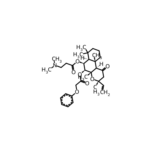 C=C[C@@]1(C)CC(=O)[C@@H]2[C@@]3(C)CCCC(C)(C)[C@@H]3[C@H](OC(=O)CCN(C)C)[C@H](OC(=O)COc3ccccc3)[C@@]2(C)O1